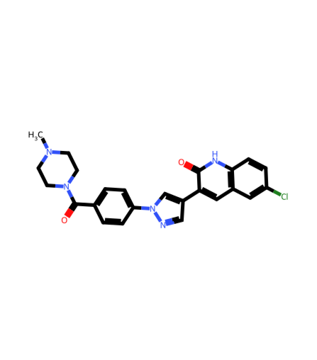 CN1CCN(C(=O)c2ccc(-n3cc(-c4cc5cc(Cl)ccc5[nH]c4=O)cn3)cc2)CC1